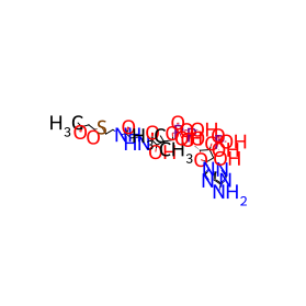 CC(=O)CC(=O)SCCNC(=O)CCNC(=O)C(O)C(C)(C)COP(=O)(O)OP(=O)(O)OC[C@H]1O[C@@H](n2cnc3c(N)ncnc32)C(O)C1OP(=O)(O)O